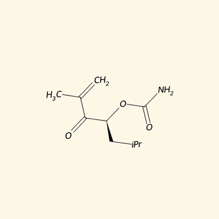 C=C(C)C(=O)[C@H](CC(C)C)OC(N)=O